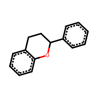 [c]1ccccc1C1CCc2ccccc2O1